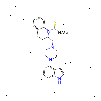 CNC(=S)N1c2ccccc2CCC1CN1CCN(c2cccc3[nH]ccc23)CC1